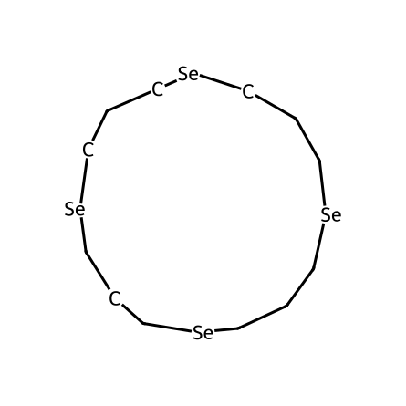 C1C[Se]CCC[Se]CCC[Se]CCC[Se]C1